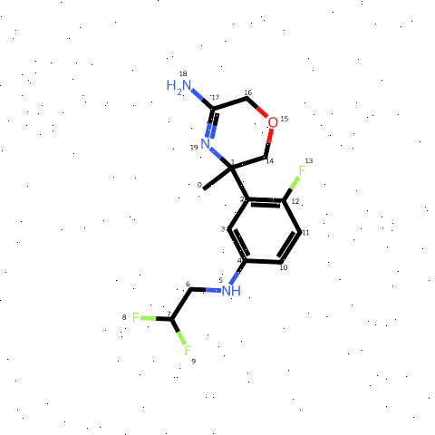 CC1(c2cc(NCC(F)F)ccc2F)COCC(N)=N1